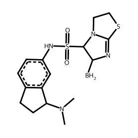 BC1N=C2SCCN2C1S(=O)(=O)Nc1ccc2c(c1)C(N(C)C)CC2